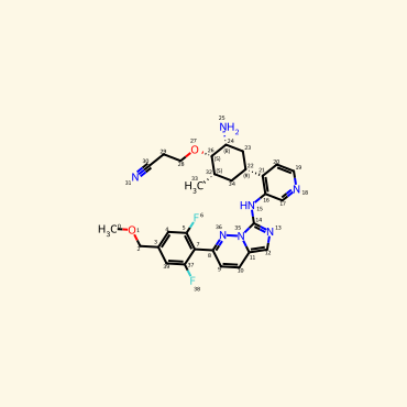 COCc1cc(F)c(-c2ccc3cnc(Nc4cnccc4[C@H]4C[C@@H](N)[C@@H](OCCC#N)[C@@H](C)C4)n3n2)c(F)c1